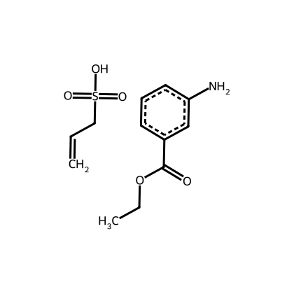 C=CCS(=O)(=O)O.CCOC(=O)c1cccc(N)c1